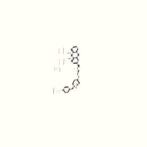 O=C(OCCCc1cc[n+](Cc2ccc(Br)cc2)cc1)c1cc(O)c2c(c1)C(=O)c1cccc(O)c1C2=O.[Br-]